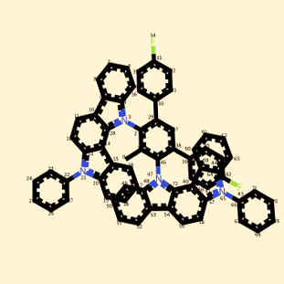 Cc1c(-n2c3ccccc3c3ccc4c(c5ccccc5n4-c4ccccc4)c32)c(-c2ccc(F)cc2)cc(-c2ccc(F)cc2)c1-n1c2ccccc2c2ccc3c(c4ccccc4n3-c3ccccc3)c21